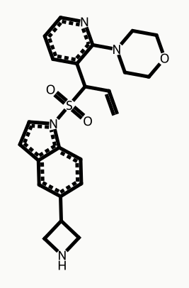 C=CC(c1cccnc1N1CCOCC1)S(=O)(=O)n1ccc2cc(C3CNC3)ccc21